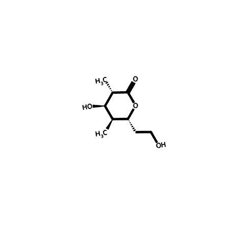 C[C@H]1[C@@H](O)[C@H](C)C(=O)O[C@@H]1CCO